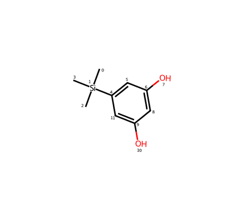 C[Si](C)(C)c1cc(O)cc(O)c1